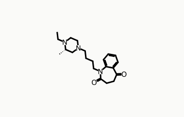 CCN1CCN(CCCCN2C(=O)CCC(=O)c3ccccc32)C[C@@H]1C